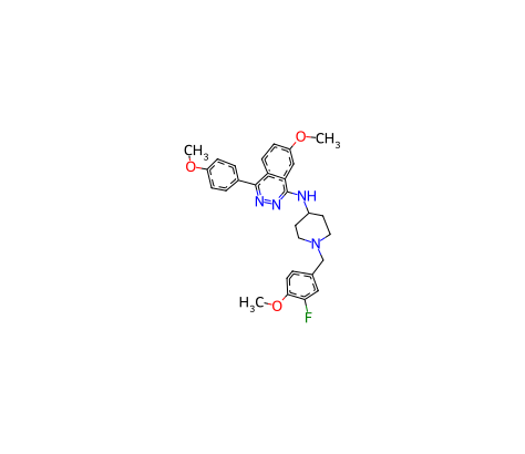 COc1ccc(-c2nnc(NC3CCN(Cc4ccc(OC)c(F)c4)CC3)c3cc(OC)ccc23)cc1